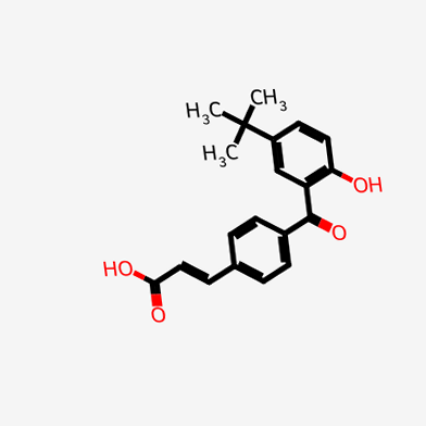 CC(C)(C)c1ccc(O)c(C(=O)c2ccc(C=CC(=O)O)cc2)c1